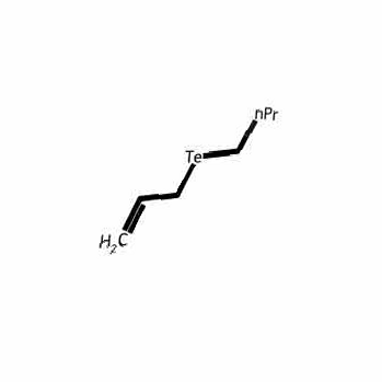 C=CC[Te]CCCC